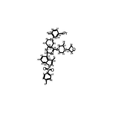 Cc1ccc(S(=O)(=O)n2cc(C)c3c(-c4nc5c(c(N6CCN(C7COC7)C(C)C6)n4)CN(c4cc(C(C)C)ccc4C)CC5)cccc32)cc1